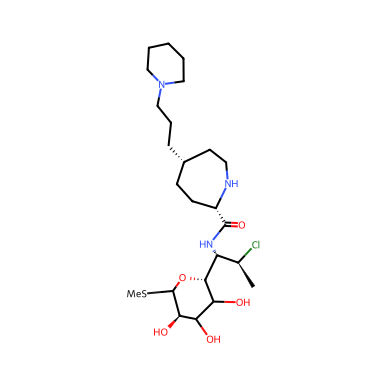 CSC1O[C@H]([C@H](NC(=O)[C@@H]2CC[C@H](CCCN3CCCCC3)CCN2)[C@H](C)Cl)C(O)C(O)[C@H]1O